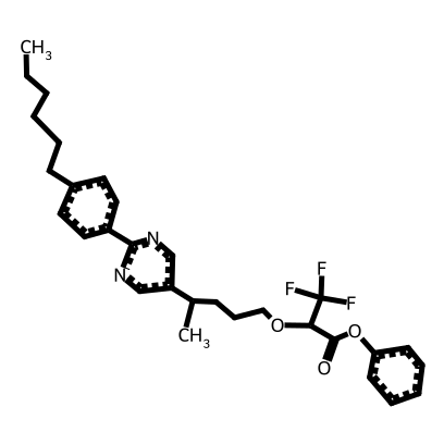 CCCCCCc1ccc(-c2ncc(C(C)CCCOC(C(=O)Oc3ccccc3)C(F)(F)F)cn2)cc1